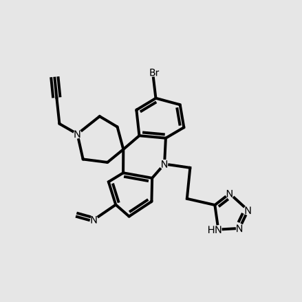 C#CCN1CCC2(CC1)c1cc(Br)ccc1N(CCc1nnn[nH]1)c1ccc(N=C)cc12